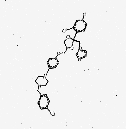 Clc1ccc(CN2CCN(c3ccc(OCC4COC(Cn5ccnc5)(c5ccc(Cl)cc5Cl)O4)cc3)CC2)cc1